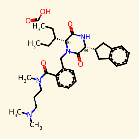 CCC(CC)[C@@H]1C(=O)N[C@H](C2Cc3ccccc3C2)C(=O)N1Cc1ccccc1C(=O)N(C)CCCN(C)C.O=CO